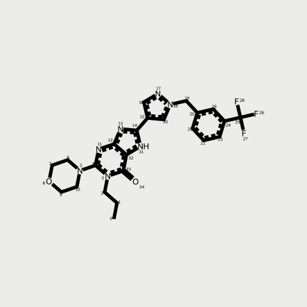 CCCn1c(N2CCOCC2)nc2nc(-c3cnn(Cc4cccc(C(F)(F)F)c4)c3)[nH]c2c1=O